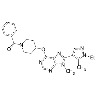 CCn1ncc(-c2nc3c(OC4CCN(C(=O)c5ccccc5)CC4)ncnc3n2C)c1C